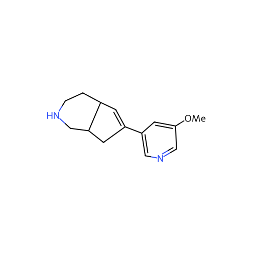 COc1cncc(C2=CC3CCNCC3C2)c1